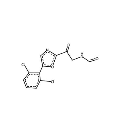 O=CNCC(=O)c1ncc(-c2c(Cl)cccc2Cl)o1